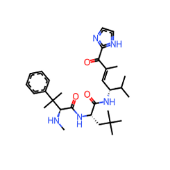 CN[C@H](C(=O)N[C@@H](CC(C)(C)C)C(=O)N[C@H](/C=C(\C)C(=O)c1ncc[nH]1)C(C)C)C(C)(C)c1ccccc1